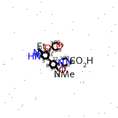 CCc1n[nH]c2cc(-c3ccc(C(=O)NC)c(N4CCN(C(=O)O)CC4)c3)cc(OC3CCOCC3)c12